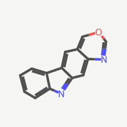 c1ccc2c(c1)nc1cc3ncocc3cc12